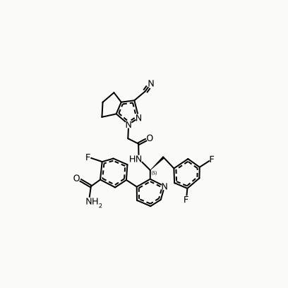 N#Cc1nn(CC(=O)N[C@@H](Cc2cc(F)cc(F)c2)c2ncccc2-c2ccc(F)c(C(N)=O)c2)c2c1CCC2